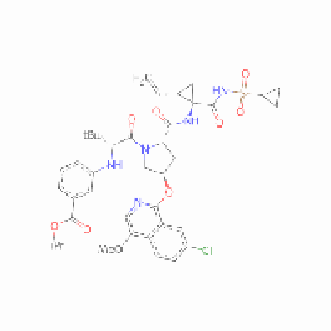 C=C[C@@H]1C[C@]1(NC(=O)[C@@H]1C[C@@H](Oc2ncc(OC)c3ccc(Cl)cc23)CN1C(=O)[C@H](Nc1cccc(C(=O)OC(C)C)c1)C(C)(C)C)C(=O)NS(=O)(=O)C1CC1